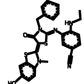 CCNc1ccc(C#N)cc1N=C1SC(=C2Sc3cc(O)ccc3N2C)C(=O)N1Cc1ccccc1